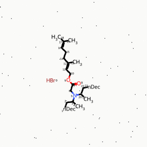 Br.CCCCCCCCCCCC(C)N(CC(=O)OC/C=C(\C)CCC=C(C)C)C(C)CCCCCCCCCCC